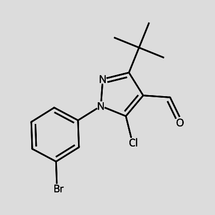 CC(C)(C)c1nn(-c2cccc(Br)c2)c(Cl)c1C=O